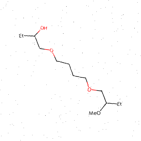 CCC(O)COCCCCOCC(CC)OC